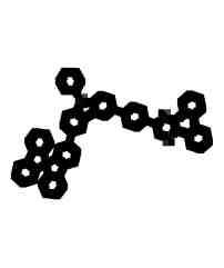 c1ccc(-n2c3ccc(-c4ccc(-c5cnc6c7ccccc7c7ccccc7c6n5)cc4)cc3c3cc(-c4ccc5c(c4)C4(c6ccccc6-c6ccccc64)c4ccccc4-5)ccc32)cc1